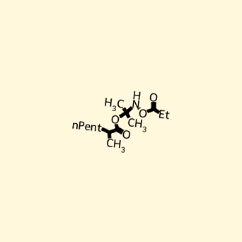 CCCCCC(C)C(=O)OC(C)(C)NOC(=O)CC